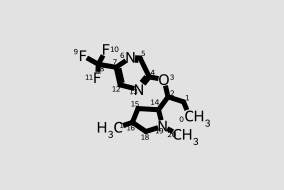 CCC(Oc1cnc(C(F)(F)F)cn1)C1CC(C)CN1C